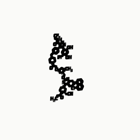 C=CC(=O)N1CCN(c2nc(OC[C@@H]3C[C@@H](OCC(=O)N4CCC(Cc5ccc(-n6c(C(=O)NCC(F)(F)F)nnc6-c6cc(C(C)C)c(O)cc6O)cc5)CC4)CN3C)nc3c2CCN(c2cccc4cccc(Cl)c24)C3)C[C@@H]1CC#N